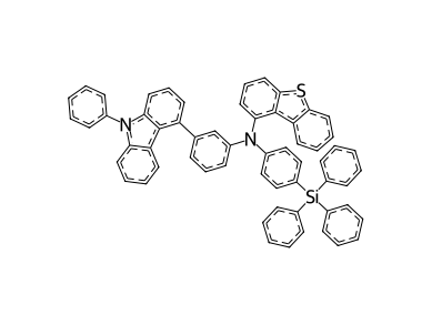 c1ccc(-n2c3ccccc3c3c(-c4cccc(N(c5ccc([Si](c6ccccc6)(c6ccccc6)c6ccccc6)cc5)c5cccc6sc7ccccc7c56)c4)cccc32)cc1